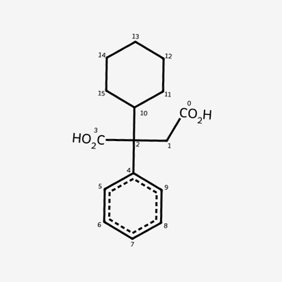 O=C(O)CC(C(=O)O)(c1ccccc1)C1CCCCC1